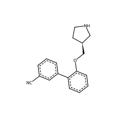 N#Cc1cccc(-c2ccccc2OC[C@H]2CCNC2)c1